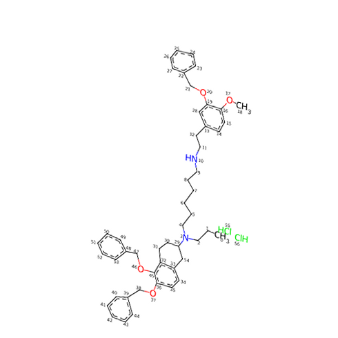 CCCN(CCCCCCNCCc1ccc(OC)c(OCc2ccccc2)c1)C1CCc2c(ccc(OCc3ccccc3)c2OCc2ccccc2)C1.Cl.Cl